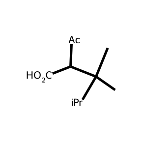 CC(=O)C(C(=O)O)C(C)(C)C(C)C